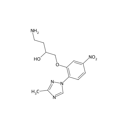 Cc1ncn(-c2ccc([N+](=O)[O-])cc2OCC(O)CCN)n1